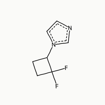 FC1(F)CCC1n1ccnc1